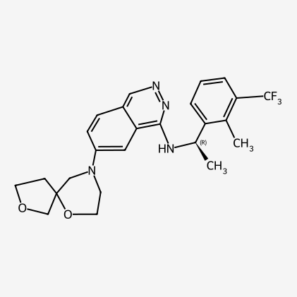 Cc1c([C@@H](C)Nc2nncc3ccc(N4CCOC5(CCOC5)C4)cc23)cccc1C(F)(F)F